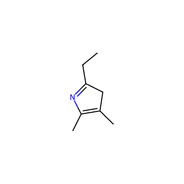 CCC1=NC(C)=C(C)C1